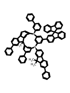 CC1(C)c2cc(-c3ccccc3)ccc2-c2ccc(N3c4cc(-c5ccc6c(c5)C5(c7ccccc7-c7ccccc75)c5ccccc5-6)cc(c4)N(c4cccc(-c5ccccc5)c4)c4ccc5c(c4)C(C)(c4cc(-c6ccccc6)cc3c4)c3cc(-c4ccccc4)ccc3-5)cc21